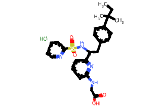 CCC(C)(C)c1ccc(CC(NS(=O)(=O)c2ccccn2)c2cccc(NCC(=O)O)n2)cc1.Cl